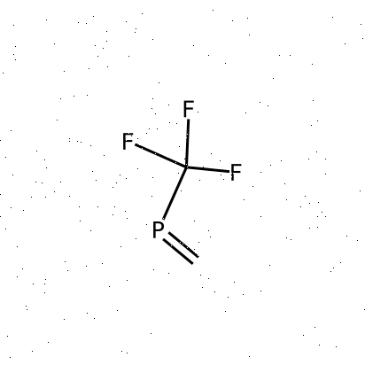 C=PC(F)(F)F